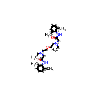 CCN(CCOCCN(CC)CC(=O)Nc1c(C)cccc1C)CC(=O)Nc1c(C)cccc1C